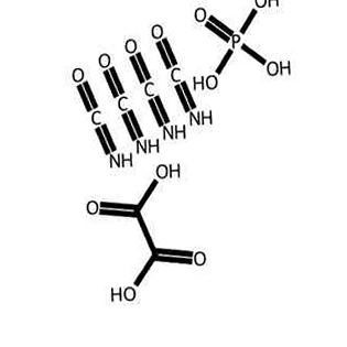 N=C=O.N=C=O.N=C=O.N=C=O.O=C(O)C(=O)O.O=P(O)(O)O